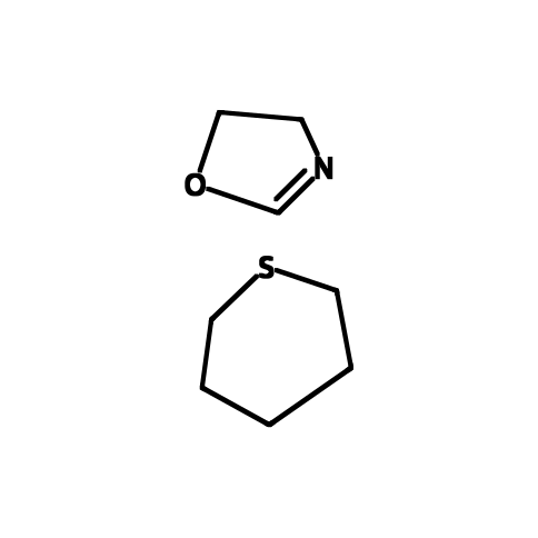 C1=NCCO1.C1CCSCC1